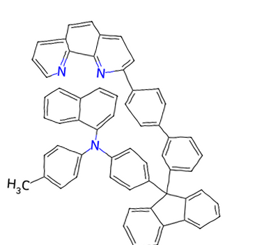 Cc1ccc(N(c2ccc(C3(c4cccc(-c5ccc(-c6ccc7ccc8cccnc8c7n6)cc5)c4)c4ccccc4-c4ccccc43)cc2)c2cccc3ccccc23)cc1